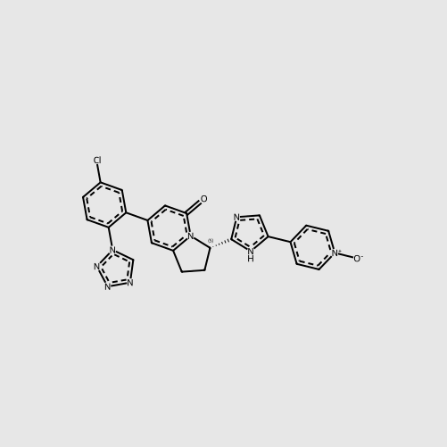 O=c1cc(-c2cc(Cl)ccc2-n2cnnn2)cc2n1[C@H](c1ncc(-c3cc[n+]([O-])cc3)[nH]1)CC2